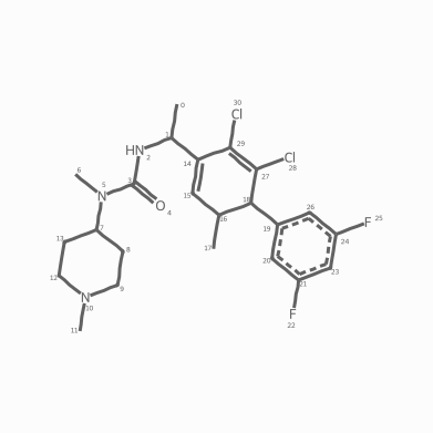 CC(NC(=O)N(C)C1CCN(C)CC1)C1=CC(C)C(c2cc(F)cc(F)c2)C(Cl)=C1Cl